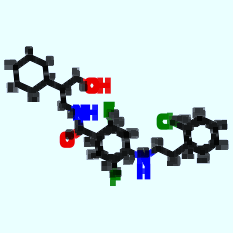 O=C(NCC(CO)C1CCCCC1)c1cc(F)c(NCCc2ccccc2Cl)cc1F